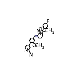 CCC1(c2ccc(F)cc2)ON=C2/C(=C/c3ccc(-c4ccnc(C#N)c4)c(OC)c3)CCCN21